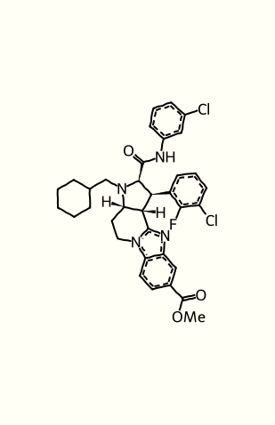 COC(=O)c1ccc2c(c1)nc1n2CC[C@H]2[C@@H]1[C@H](c1cccc(Cl)c1F)[C@H](C(=O)Nc1cccc(Cl)c1)N2CC1CCCCC1